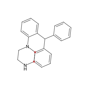 c1ccc(C(c2ccccc2)c2ccccc2N2CCNCC2)cc1